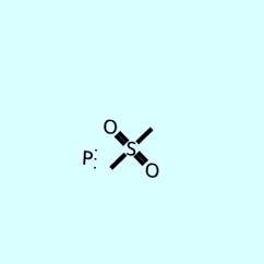 CS(C)(=O)=O.[P]